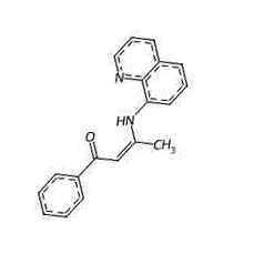 C/C(=C/C(=O)c1ccccc1)Nc1cccc2cccnc12